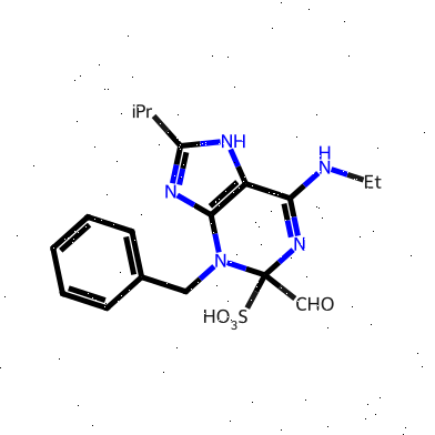 CCNC1=NC(C=O)(S(=O)(=O)O)N(Cc2ccccc2)c2nc(C(C)C)[nH]c21